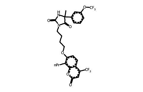 CCCc1c(OCCCCN2C(=O)NC(C)(c3cccc(OC(F)(F)F)c3)C2=O)ccc2c(C(F)(F)F)cc(=O)oc12